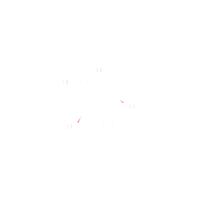 OC[C@@H](O)[C@H]1OC[C@H](O)[C@H]1O.[SiH3]O[SiH3]